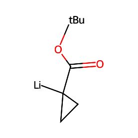 [Li][C]1(C(=O)OC(C)(C)C)CC1